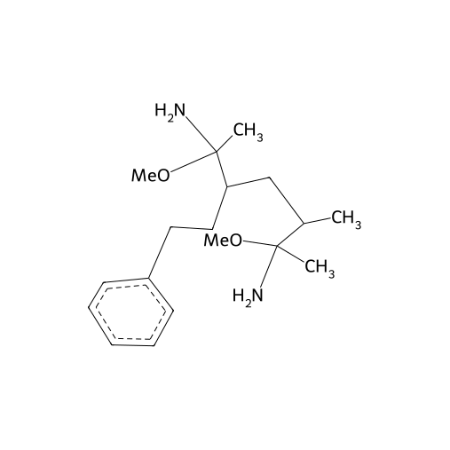 COC(C)(N)C(C)CC(CCc1ccccc1)C(C)(N)OC